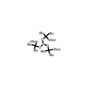 CCCCCCCCCC(OP(OC(CCCCCCCCC)(C(C)CC)C(C)CC)OC(CCCCCCCCC)(C(C)CC)C(C)CC)(C(C)CC)C(C)CC